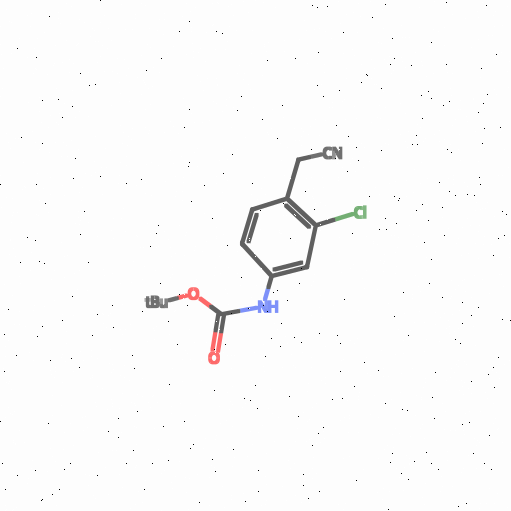 CC(C)(C)OC(=O)Nc1ccc(CC#N)c(Cl)c1